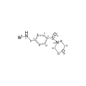 [O-][S+](c1ccc(CNBr)cc1)N1CCOCC1